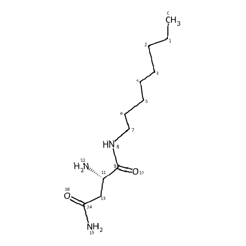 CCCCCCCCNC(=O)[C@@H](N)CC(N)=O